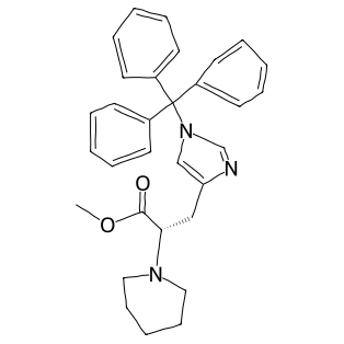 COC(=O)[C@H](Cc1cn(C(c2ccccc2)(c2ccccc2)c2ccccc2)cn1)N1CCCCC1